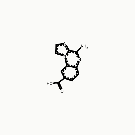 Nc1nc2ccc(C(=O)O)cc2n2ccnc12